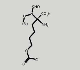 CC(C)(C)ON(C=O)[C@](N)(CCCCOC(=O)Cl)C(=O)O